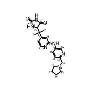 CC(C)(c1ccnc(Nc2ccc(CN3CCCC3)nc2)c1)C1NC(=O)NC1=O